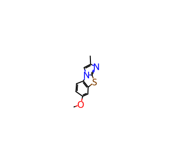 COc1ccc2c(c1)sc1nc(C)cn12